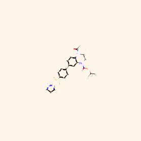 CC(=O)N1c2ccc(-c3ccc(S(=O)(=O)n4cccn4)cc3)cc2N(C(=O)OC(C)C)C[C@@H]1C